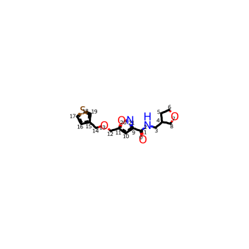 O=C(NCC1CCOC1)c1cc(COCc2ccsc2)on1